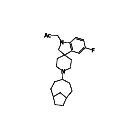 CC(=O)CN1CC2(CCN(C3CCC4CCC(CC3)C4)CC2)c2cc(F)ccc21